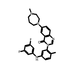 Cc1ccc(Nc2cc(F)cc(F)c2)cc1-n1cnc2ccc(N3CCCN(C)CC3)cc2c1=O